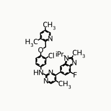 Cc1cnc(COc2ccc(Nc3ncc(C)c(-c4cc(F)c5nc(C)n(C(C)C)c5c4)n3)cc2Cl)c(C)c1